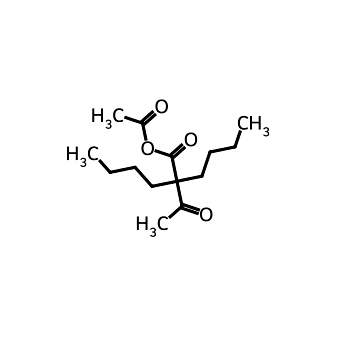 CCCCC(CCCC)(C(C)=O)C(=O)OC(C)=O